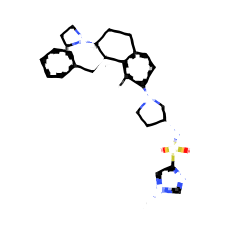 Cn1cnc(S(=O)(=O)N[C@@H]2CCN(c3ccc4c(c3C=O)[C@@H](Cc3ccccc3)[C@@H](N3CCC3)CC4)C2)c1